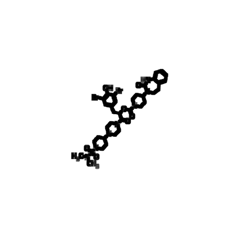 CN(C)S(=O)(=O)N1CCC(N2CCN(C(=O)[C@@H](Cc3cc(Br)c(O)c(Br)c3)OC(=O)N3CCC(N4CCc5ccccc5NC4=O)CC3)CC2)CC1